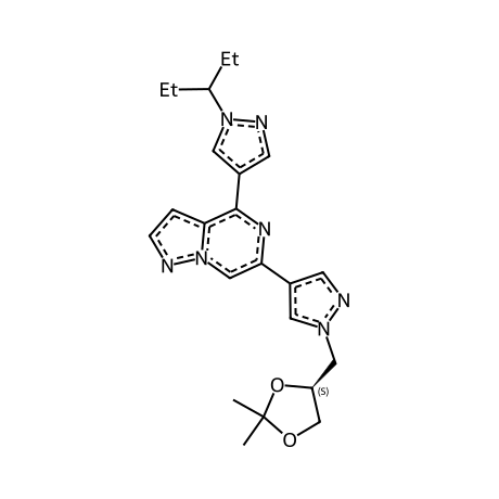 CCC(CC)n1cc(-c2nc(-c3cnn(C[C@H]4COC(C)(C)O4)c3)cn3nccc23)cn1